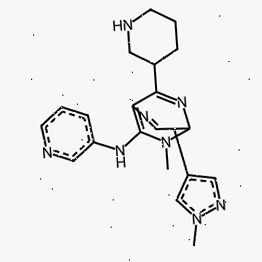 CN1C2=C(c3cnn(C)c3)C=NC(=C1Nc1cccnc1)C(C1CCCNC1)=N2